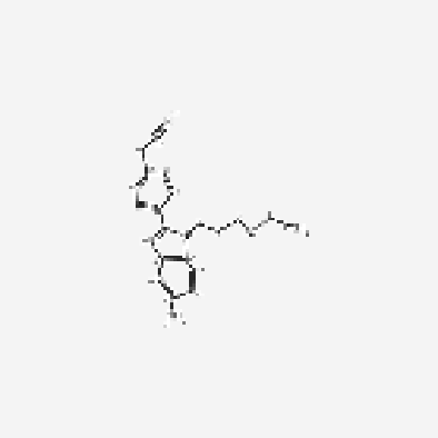 CCOCCCn1c(-c2ccc(CC#N)cc2)nc2cc(N)ccc21